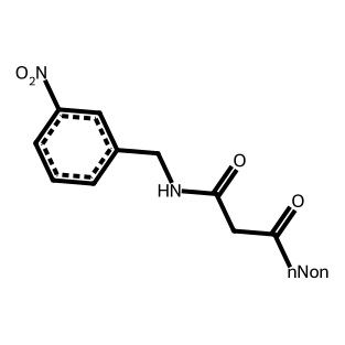 CCCCCCCCCC(=O)CC(=O)NCc1cccc([N+](=O)[O-])c1